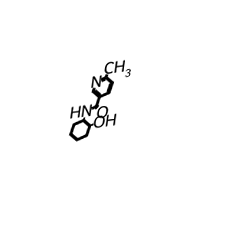 Cc1ccc(C(=O)N[C@H]2CCCC[C@@H]2O)cn1